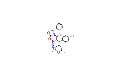 C[C@@H]1CC([C@H](c2ccc(Cl)cc2)[C@H](N=[N+]=[N-])C(=O)N2C(=O)OC[C@@H]2c2ccccc2)C[C@H](C)O1